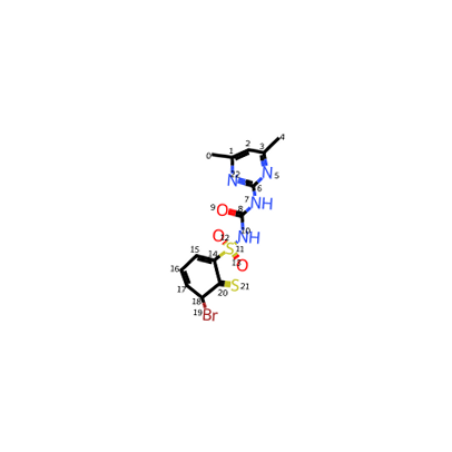 Cc1cc(C)nc(NC(=O)NS(=O)(=O)C2=CC=CC(Br)C2=S)n1